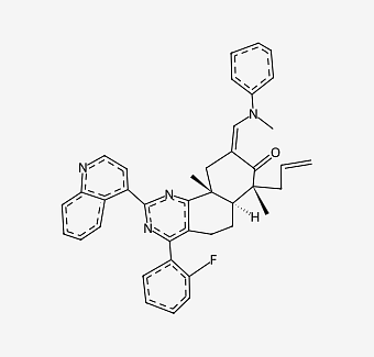 C=CC[C@@]1(C)C(=O)/C(=C\N(C)c2ccccc2)C[C@@]2(C)c3nc(-c4ccnc5ccccc45)nc(-c4ccccc4F)c3CC[C@H]12